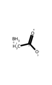 B.CC([O])=O